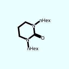 CCCCCCN1CCCN(CCCCCC)C1=O